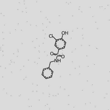 O=S(=O)(NCc1ccccc1)c1ccc(O)c(Cl)c1